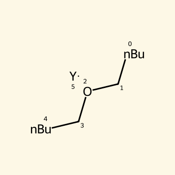 CCCCCOCCCCC.[Y]